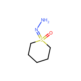 NN=S1(=O)CCCCC1